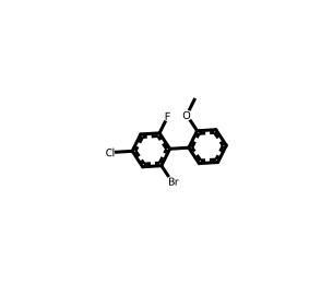 COc1ccccc1-c1c(F)cc(Cl)cc1Br